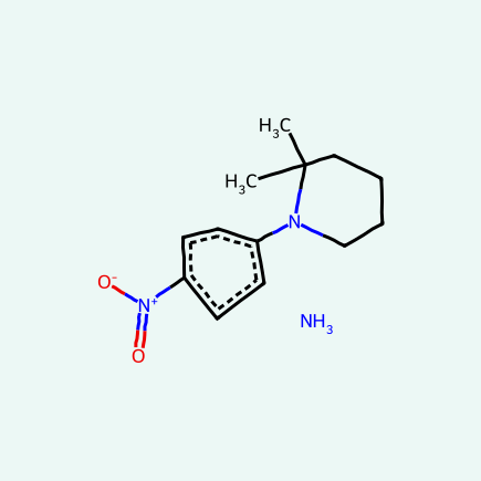 CC1(C)CCCCN1c1ccc([N+](=O)[O-])cc1.N